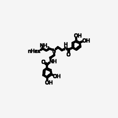 CCCCCCC(N)CCN(CCNC(=O)c1ccc(O)c(O)c1)CCNC(=O)c1ccc(O)c(O)c1